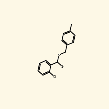 Cc1ccc(CSC([S])c2ccccc2Cl)cc1